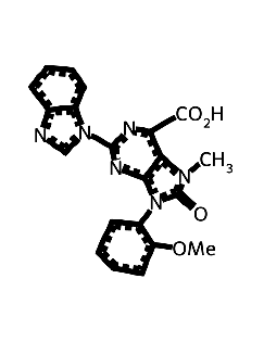 COc1ccccc1-n1c(=O)n(C)c2c(C(=O)O)nc(-n3cnc4ccccc43)nc21